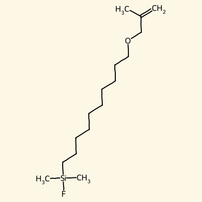 C=C(C)COCCCCCCCCCC[Si](C)(C)F